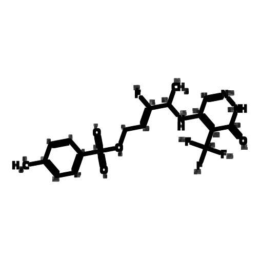 Cc1ccc(S(=O)(=O)OCC=C(F)C(C)Nc2cn[nH]c(=O)c2C(F)(F)F)cc1